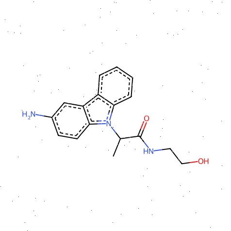 CC(C(=O)NCCO)n1c2ccccc2c2cc(N)ccc21